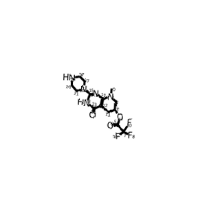 CN1CC(OC(=O)C(F)(F)F)Cc2c1nc(N1CCNCC1)[nH]c2=O